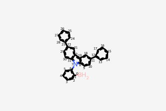 Bc1ccccc1-n1c2ccc(-c3ccccc3)cc2c2cc(-c3ccccc3)ccc21